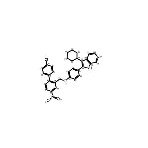 O=[N+]([O-])c1ccc(-c2ccc(Cl)cc2)c(COc2ccc(-c3[nH]c4cnccc4c3C3CCCCC3)cc2)c1